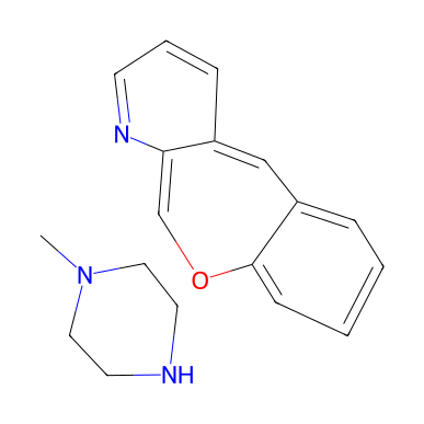 C1=c2cccnc2=COc2ccccc21.CN1CCNCC1